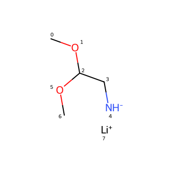 COC(C[NH-])OC.[Li+]